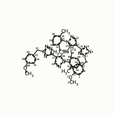 COc1ccc(Cn2nnc(-c3cnn(-c4c(C)cccc4C)c3SSc3c(-c4nnn(Cc5ccc(OC)cc5)n4)cnn3-c3c(C)cccc3C)n2)cc1